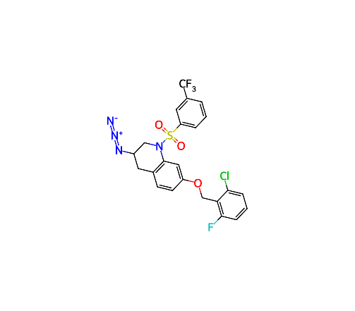 [N-]=[N+]=NC1Cc2ccc(OCc3c(F)cccc3Cl)cc2N(S(=O)(=O)c2cccc(C(F)(F)F)c2)C1